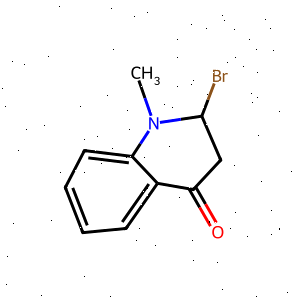 CN1c2ccccc2C(=O)CC1Br